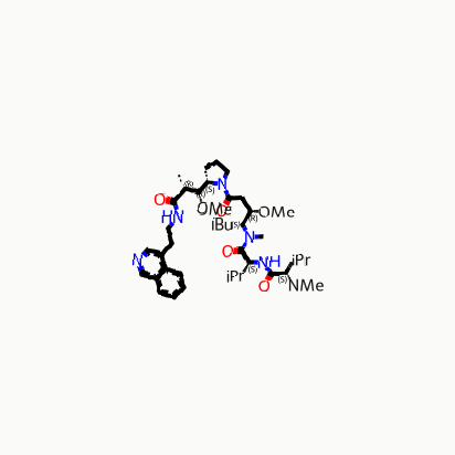 CC[C@H](C)C([C@@H](CC(=O)N1CCC[C@H]1[C@H](OC)[C@@H](C)C(=O)NCCc1cncc2ccccc12)OC)N(C)C(=O)[C@@H](NC(=O)[C@@H](NC)C(C)C)C(C)C